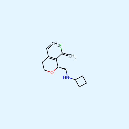 C=CC1=C(C(=C)F)[C@@H](CNC2CCC2)OCC1